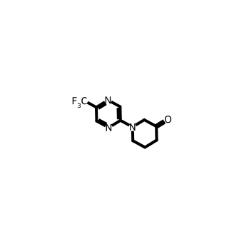 O=C1CCCN(c2cnc(C(F)(F)F)cn2)C1